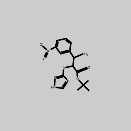 CC(C)(C)OC(=O)C(Sc1nc[nH]n1)C(N)c1cccc([N+](=O)[O-])c1